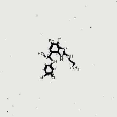 NCCNc1nc2c(F)c(F)cc(/C(=N\O)Nc3ccc(F)c(Cl)c3)c2[nH]1